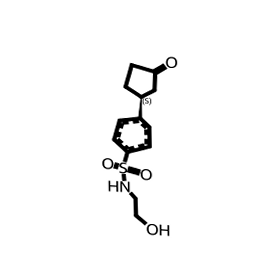 O=C1CC[C@H](c2ccc(S(=O)(=O)NCCO)cc2)C1